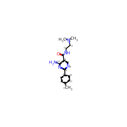 Cc1ccc(-c2ncc(C(=O)NCCN(C)C)c(N)n2)cc1